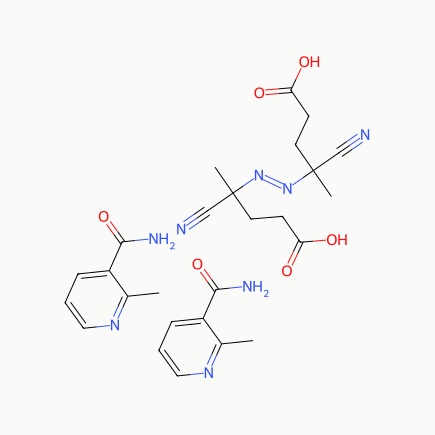 CC(C#N)(CCC(=O)O)N=NC(C)(C#N)CCC(=O)O.Cc1ncccc1C(N)=O.Cc1ncccc1C(N)=O